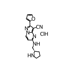 Cl.N#Cc1c(-c2ccco2)nn2ccc(NC[C@H]3CCCN3)nc12